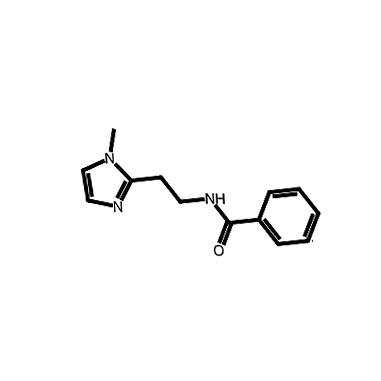 Cn1ccnc1CCNC(=O)c1c[c]ccc1